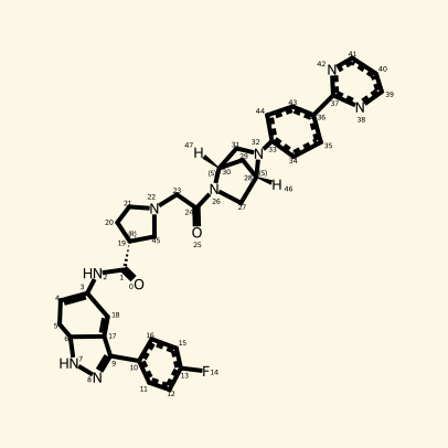 O=C(NC1=CCC2NN=C(c3ccc(F)cc3)C2=C1)[C@@H]1CCN(CC(=O)N2C[C@@H]3C[C@H]2CN3c2ccc(-c3ncccn3)cc2)C1